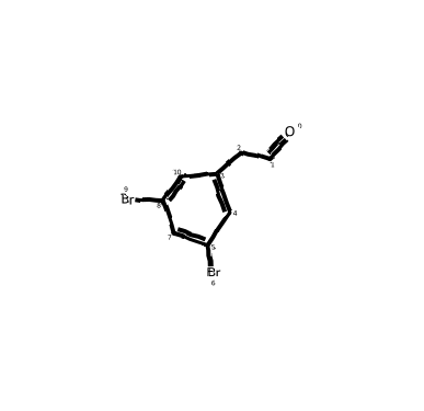 O=[C]Cc1cc(Br)cc(Br)c1